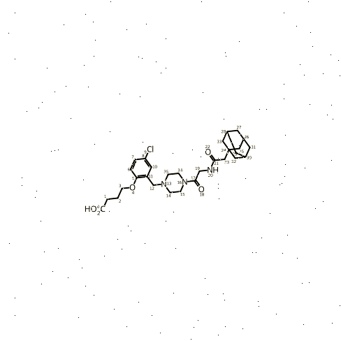 O=C(O)CCCOc1ccc(Cl)cc1CN1CCN(C(=O)CNC(=O)CC23CC4CC(CC(C4)C2)C3)CC1